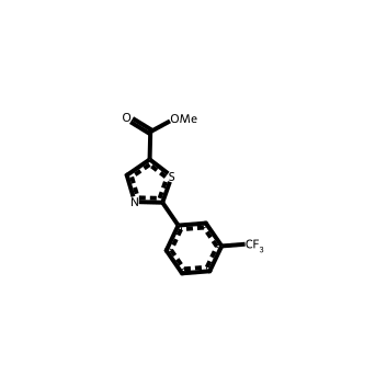 COC(=O)c1cnc(-c2cccc(C(F)(F)F)c2)s1